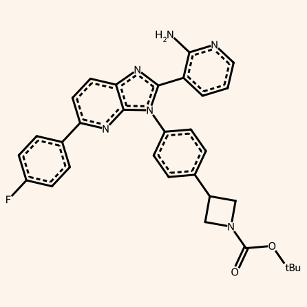 CC(C)(C)OC(=O)N1CC(c2ccc(-n3c(-c4cccnc4N)nc4ccc(-c5ccc(F)cc5)nc43)cc2)C1